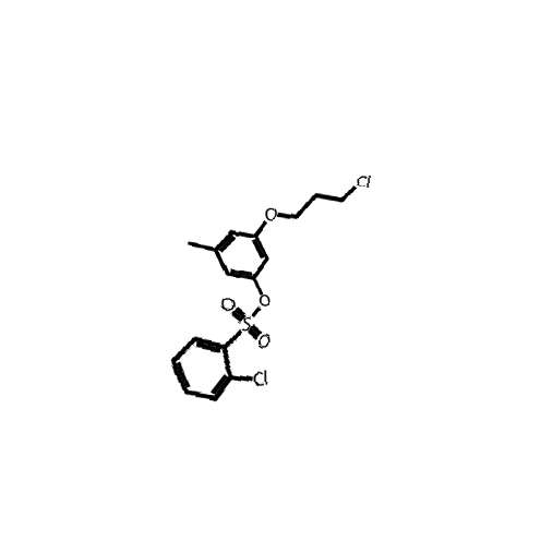 Cc1cc(OCCCCl)cc(OS(=O)(=O)c2ccccc2Cl)c1